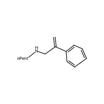 C=C(CNCCCCC)c1ccccc1